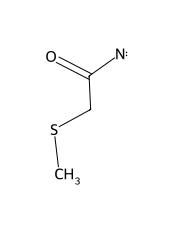 CSCC([N])=O